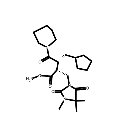 CN1C(=O)N(C[C@H](C(=O)ON)[C@@H](CC2CCCC2)C(=O)N2CCCCC2)C(=O)C1(C)C